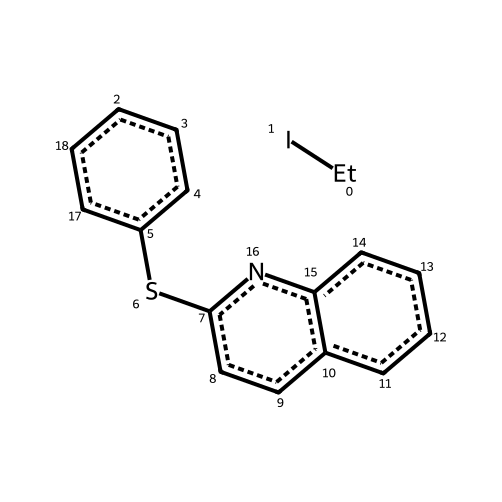 CCI.c1ccc(Sc2ccc3ccccc3n2)cc1